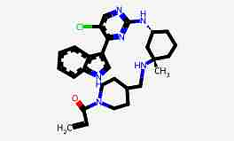 C=CC(=O)N1CCC(CN[C@@]2(C)CCC[C@@H](Nc3ncc(Cl)c(-c4c[nH]c5ccccc45)n3)C2)CC1